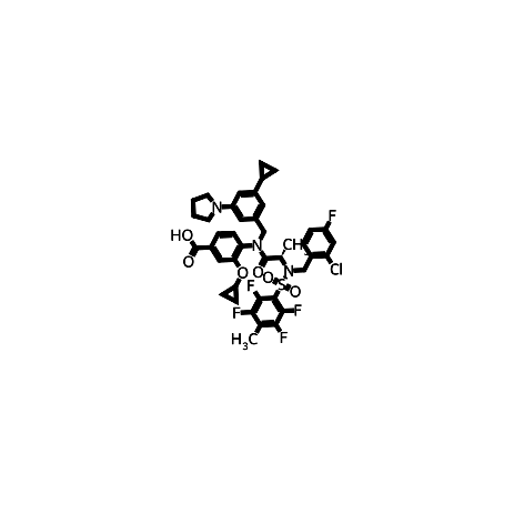 Cc1c(F)c(F)c(S(=O)(=O)N(Cc2ccc(F)cc2Cl)[C@@H](C)C(=O)N(Cc2cc(C3CC3)cc(N3CCCC3)c2)c2ccc(C(=O)O)cc2OC2CC2)c(F)c1F